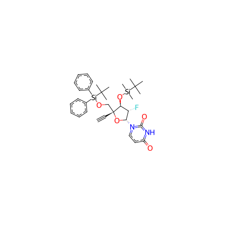 C#C[C@]1(CO[Si](c2ccccc2)(c2ccccc2)C(C)(C)C)O[C@@H](n2ccc(=O)[nH]c2=O)[C@@H](F)[C@@H]1O[Si](C)(C)C(C)(C)C